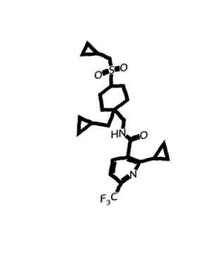 O=C(NCC1(CC2CC2)CCC(S(=O)(=O)CC2CC2)CC1)c1ccc(C(F)(F)F)nc1C1CC1